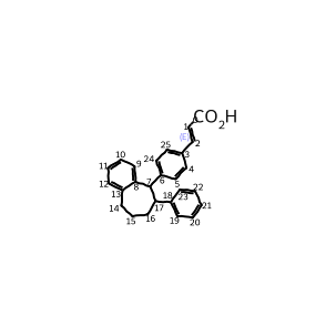 O=C(O)/C=C/c1ccc(C2c3ccccc3CCCC2c2ccccc2)cc1